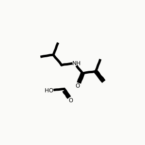 C=C(C)C(=O)NCC(C)C.O=CO